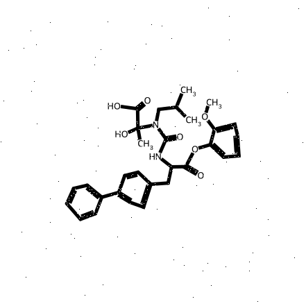 COc1ccccc1OC(=O)C(Cc1ccc(-c2ccccc2)cc1)NC(=O)N(CC(C)C)C(C)(O)C(=O)O